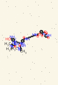 CCn1nc(C)cc1C(=O)Nc1nc2cc(C(=O)NCCCCCCCCNC(=O)COc3cccc4c3C(=O)N(C3CCC(=O)NC3=O)C4=O)ccc2n1C/C=C/Cn1c(NC(=O)c2cc(C)nn2CC)nc2cc(C(N)O)ccc21